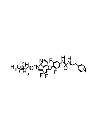 C[Si](C)(C)CCOCn1cc(C(F)(F)F)c2c(Oc3c(F)cc(NC(=O)NCCc4ccncc4)cc3F)ccnc21